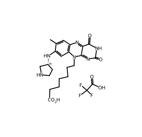 Cc1cc2nc3c(=O)[nH]c(=O)nc-3n(CCCCCCC(=O)O)c2cc1N[C@@H]1CCNC1.O=C(O)C(F)(F)F